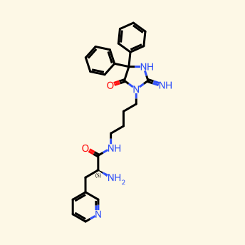 N=C1NC(c2ccccc2)(c2ccccc2)C(=O)N1CCCCNC(=O)[C@@H](N)Cc1cccnc1